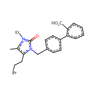 CCn1c(C)c(CCC(C)C)n(Cc2ccc(-c3ccccc3C(=O)O)cc2)c1=O